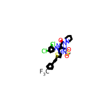 CS(=O)(=O)NCc1c(C(=O)NN2CCCCC2)nn(-c2ccc(Cl)cc2Cl)c1-c1ccc(C#Cc2ccc(C(F)(F)F)cc2)s1